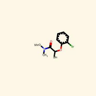 CCCC(Oc1ccccc1Br)C(=O)N(C)OC